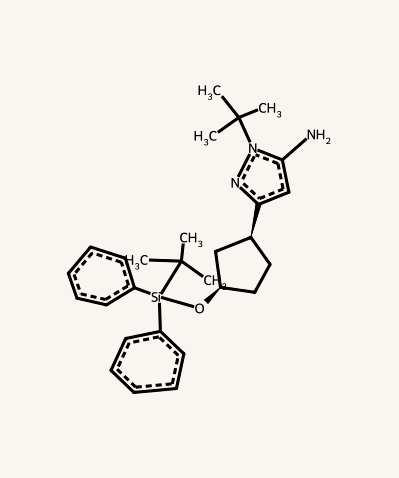 CC(C)(C)n1nc([C@H]2CC[C@@H](O[Si](c3ccccc3)(c3ccccc3)C(C)(C)C)C2)cc1N